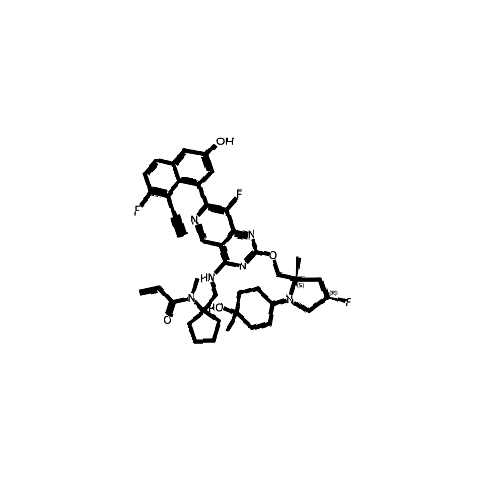 C#Cc1c(F)ccc2cc(O)cc(-c3ncc4c(NCC5(N(C)C(=O)C=C)CCCC5)nc(OC[C@]5(C)C[C@@H](F)CN5C5CCC(C)(O)CC5)nc4c3F)c12